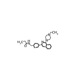 CCC(=O)NCc1ccc(-c2cc3ccccc3c(N3CCN(CC)CC3)n2)cc1